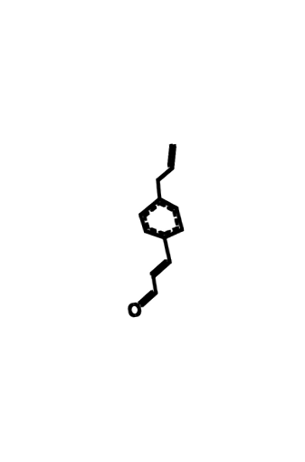 C=CCc1ccc(C=CC=O)cc1